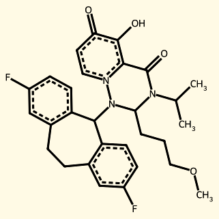 COCCCC1N(C(C)C)C(=O)c2c(O)c(=O)ccn2N1C1c2ccc(F)cc2CCc2cc(F)ccc21